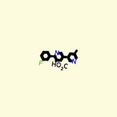 Cc1cncc(-c2cnc(-c3cccc(F)c3)c(C(=O)O)c2)c1